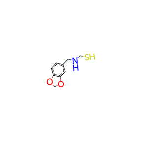 SCNCc1ccc2c(c1)OCO2